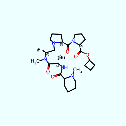 CC(C)[C@@H](CN1CCC[C@H]1C(=O)N1CCC[C@H]1C(=O)OC1CCC1)N(C)C(=O)[C@@H](NC(=O)C1CCCCN1C)C(C)(C)C